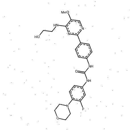 COc1cnc(-c2ccc(NC(=O)Nc3ccc(N4CCOCC4)c(F)c3)cc2)nc1NCCO